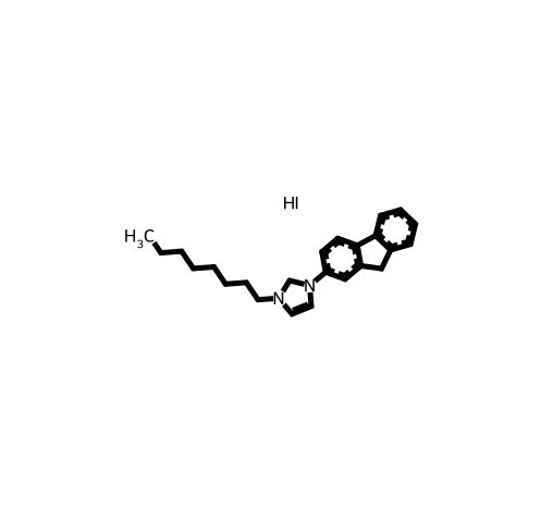 CCCCCCCCN1C=CN(c2ccc3c(c2)Cc2ccccc2-3)C1.I